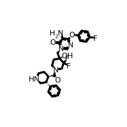 Nc1c(Oc2ccc(F)cc2)ncn(C[C@@]2(O)CCN(C(=O)[C@@H]3CCNC[C@H]3c3ccccc3)CC2(F)F)c1=O